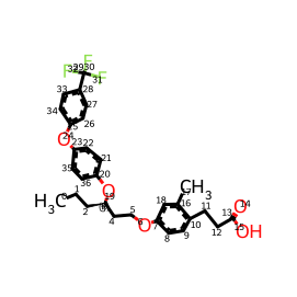 CCC[C@H](CCOc1ccc(CCC(=O)O)c(C)c1)Oc1ccc(Oc2ccc(C(F)(F)F)cc2)cc1